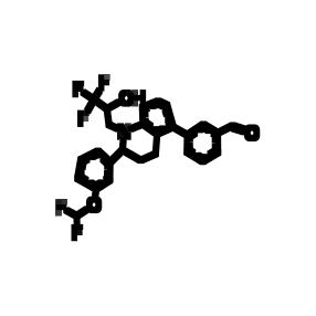 O=Cc1cccc(-c2cccc3c2CCC(c2cccc(OC(F)F)c2)N3CC(O)C(F)(F)F)c1